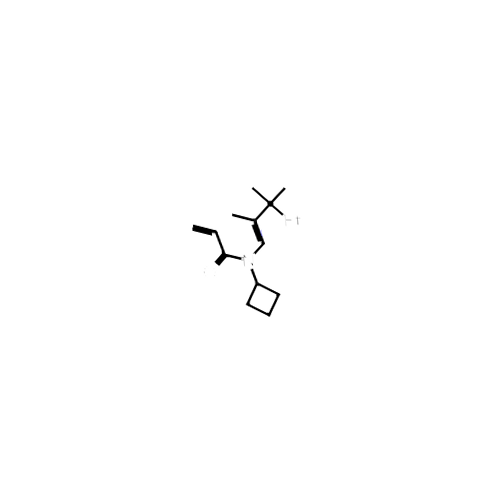 C=CC(=O)N(/C=C(\C)C(C)(C)CC)C1CCC1